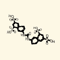 O=C(Nc1ccc2cc(S(=O)(=O)O)cc(S(=O)(=O)O)c2c1)Nc1ccc2cc(S(=O)(=O)O)cc(S(=O)(=O)O)c2c1